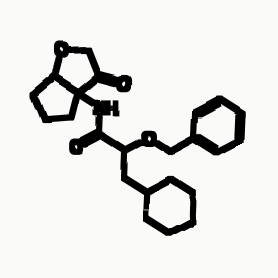 O=C(NC12CCCC1OCC2=O)C(CC1CCCCC1)OCc1ccccc1